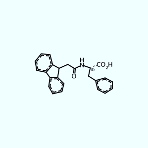 O=C(CC1c2ccccc2-c2ccccc21)N[C@@H](Cc1ccccc1)C(=O)O